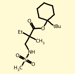 CCC(C)(CNS(C)(=O)=O)C(=O)OC1(C(C)(C)C)CCCCC1